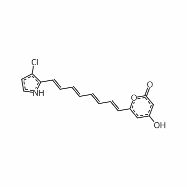 O=c1cc(O)cc(/C=C/C=C/C=C/C=C/c2[nH]ccc2Cl)o1